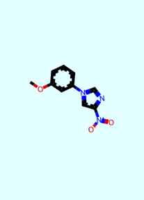 COc1cccc(-n2cnc([N+](=O)[O-])c2)c1